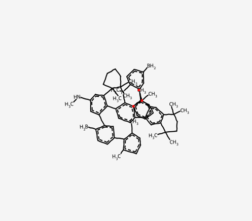 Bc1ccc(N(C)c2c(-c3c(-c4cc(-c5c(C)cccc5C)ccc4B)cc(NC)cc3C3(C)CCCCC3(C)C)ccc3c2C(C)(C)c2cc4c(cc2-3)C(C)(C)CCC4(C)C)c(-c2ccccc2)c1